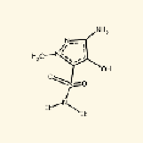 CCN(CC)S(=O)(=O)c1c(O)c(N)nn1C